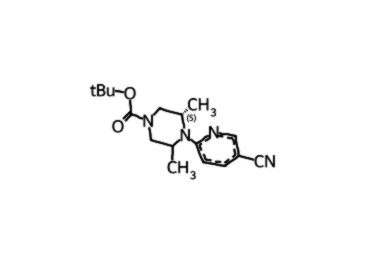 CC1CN(C(=O)OC(C)(C)C)C[C@H](C)N1c1ccc(C#N)cn1